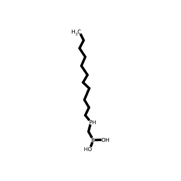 CCCCCCCCCCCPCB(O)O